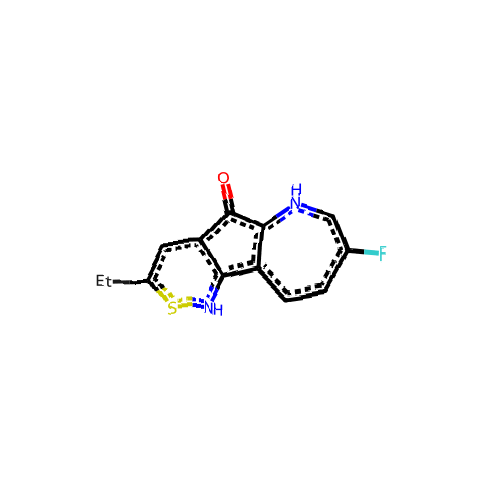 CCc1cc2c(=O)c3[nH]cc(F)ccc3c2[nH]s1